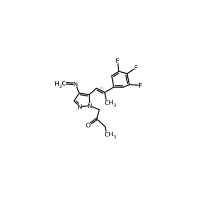 C=Nc1cnn(CC(=O)CC)c1/C=C(\C)c1cc(F)c(F)c(F)c1